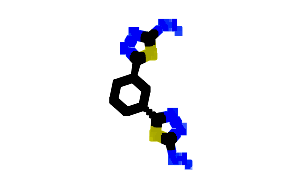 Nc1nnc([C@@H]2CCC[C@@H](c3nnc(N)s3)C2)s1